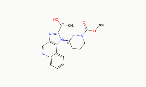 C[C@@H](O)c1nc2cnc3ccccc3c2n1[C@@H]1CCCN(C(=O)OC(C)(C)C)C1